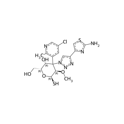 CO[C@H]1[C@@H](S)O[C@H](CO)[C@H](O)C1(c1cc(Cl)cnc1C)n1cc(-c2csc(N)n2)nn1